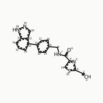 C#Cc1nc(C(=O)NCc2ccc(-c3cccc4[nH]ncc34)cc2)cs1